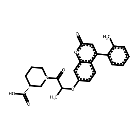 Cc1ccccc1-c1cc(=O)oc2cc(OC(C)C(=O)N3CCC[C@@H](C(=O)O)C3)ccc12